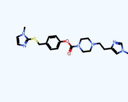 Cn1cnc(CCN2CCN(C(=O)Oc3ccc(CSc4nccn4C)cc3)CC2)c1